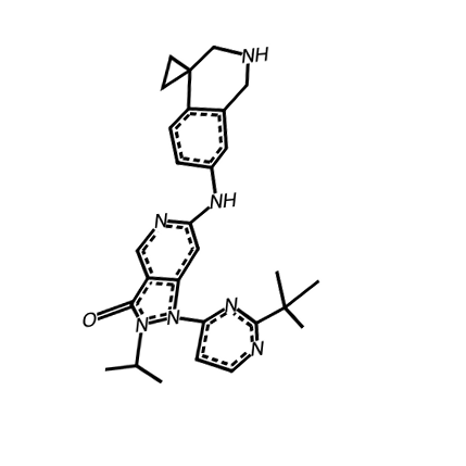 CC(C)n1c(=O)c2cnc(Nc3ccc4c(c3)CNCC43CC3)cc2n1-c1ccnc(C(C)(C)C)n1